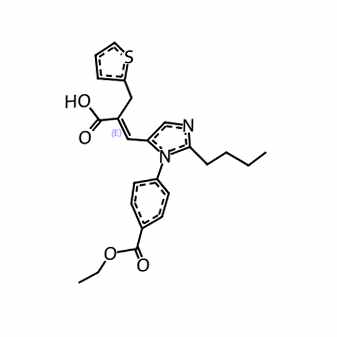 CCCCc1ncc(/C=C(\Cc2cccs2)C(=O)O)n1-c1ccc(C(=O)OCC)cc1